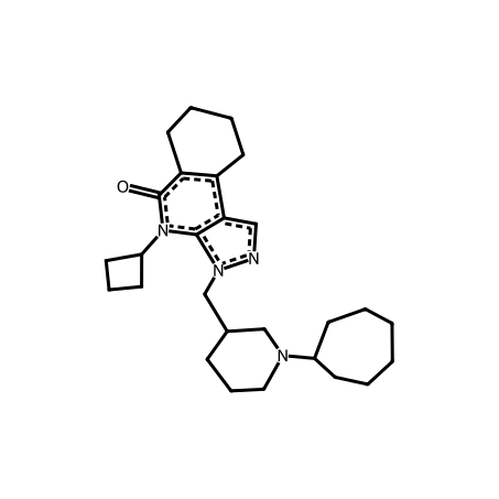 O=c1c2c(c3cnn(CC4CCCN(C5CCCCCC5)C4)c3n1C1CCC1)CCCC2